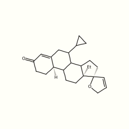 CC[C@]12CCC3C(C(C4CC4)CC4=CC(=O)CC[C@@H]43)C1CC[C@@]21C=CCO1